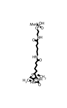 C=C[C@]12CSC(CCCCC(=O)NCCCCCC(=O)NCCOP(=O)(O)OC)[C@@]1(C=C)NC(=O)N2